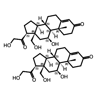 C[C@]12CCC(=O)C=C1CC[C@@H]1[C@@H]2[C@@H](O)C[C@]2(CO)[C@@H](C(=O)CO)CC[C@@H]12.C[C@]12CCC(=O)C=C1CC[C@@H]1[C@@H]2[C@@H](O)C[C@]2(CO)[C@@H](C(=O)CO)CC[C@@H]12